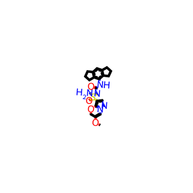 COC1=Cn2ncc(S(N)(=O)=NC(=O)Nc3c4c(cc5c3CCC5)CCC4)c2OC1